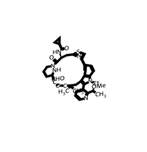 CCn1c(-c2cccnc2[C@H](C)OC)c2c3cc(ccc31)-c1csc(n1)C[C@H](NC(=O)C1CC1)C(=O)N1CCC[C@](C=O)(COCC(C)(C)C2)N1